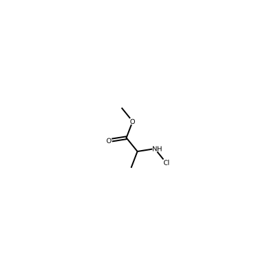 COC(=O)C(C)NCl